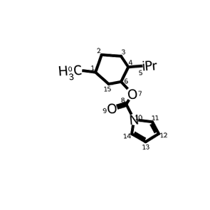 CC1CCC(C(C)C)C(OC(=O)n2cccc2)C1